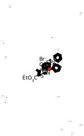 CCOC(=O)c1sc2nc(-c3ccccc3[P+](C)(c3ccccc3)c3ccccc3)c(CC)c(=O)n2c1C.[Br-]